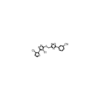 CCn1c(SCc2noc(-c3cccc(C#N)c3)n2)nnc1-c1sccc1Cl